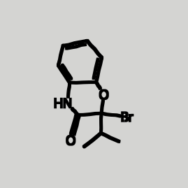 CC(C)C1(Br)Oc2ccccc2NC1=O